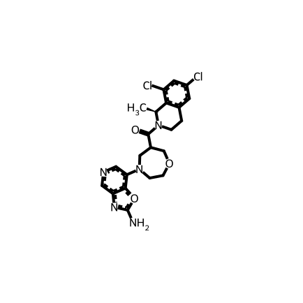 C[C@H]1c2c(Cl)cc(Cl)cc2CCN1C(=O)C1COCCN(c2cncc3nc(N)oc23)C1